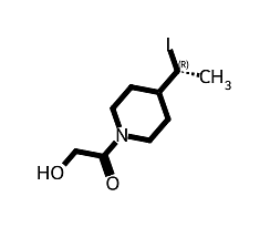 C[C@@H](I)C1CCN(C(=O)CO)CC1